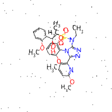 CCN(c1nnc(-c2cccc(OC)n2)n1-c1c(OC)cccc1OC)S(=O)(=O)[C@@H](C)[C@@H](O)c1ccccc1OC